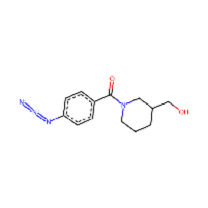 [N-]=[N+]=Nc1ccc(C(=O)N2CCCC(CO)C2)cc1